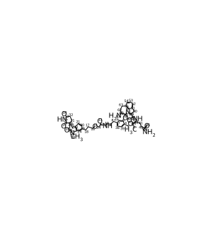 C[C@@H](OCc1ccc(CCCNC(=O)COCCCc2ccc3c(c2)n(C)c(=O)n3C2CCC(=O)NC2=O)cc1)[C@H](CCC(N)=O)NC(=O)[C@@H]1Cc2cccc3c2N1C(=O)[C@@H](N)CC3